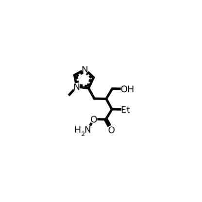 CCC(C(=O)ON)C(CO)Cc1cncn1C